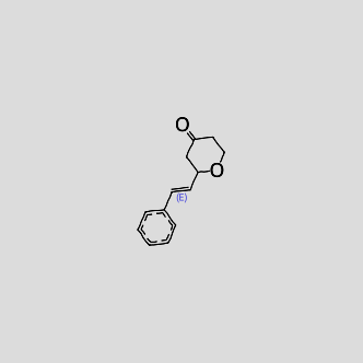 O=C1CCOC(/C=C/c2ccccc2)C1